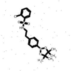 CC1(C)OB(c2ccc(CCNS(=O)(=O)c3ccccc3Cl)cc2)OC1(C)C